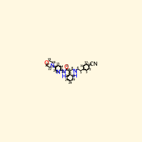 N#Cc1ccc(CCNCC(C(=O)Nc2ccc(N3CCOCC3)cn2)C2=CC=CCC2)cc1